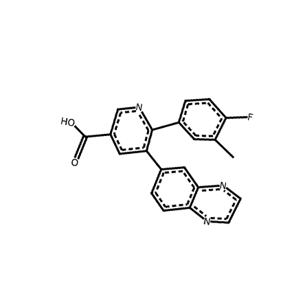 Cc1cc(-c2ncc(C(=O)O)cc2-c2ccc3nccnc3c2)ccc1F